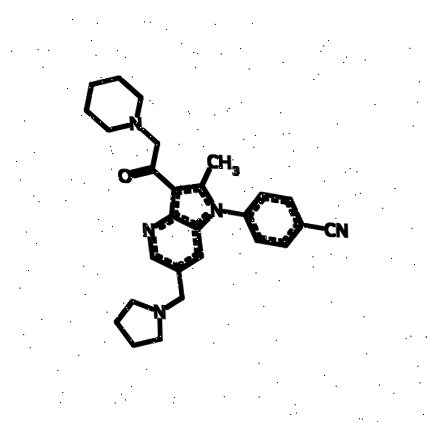 Cc1c(C(=O)CN2CCCCC2)c2ncc(CN3CCCC3)cc2n1-c1ccc(C#N)cc1